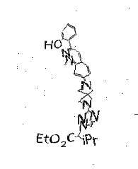 CCOC(=O)C(C(C)C)n1cnc(N2CC3(CN(c4ccc5cc(-c6ccccc6O)nnc5c4)C3)C2)n1